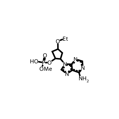 CCOC1CC(OP(=O)(O)OC)C(n2cnc3c(N)ncnc32)C1